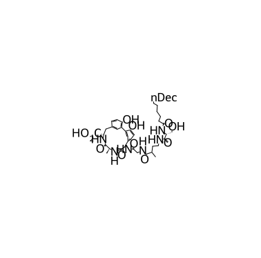 CCCCCCCCCCCCCCCC(=O)N[C@H](CO)C(=O)NCCC(C)C(=O)NCC(=O)N[C@@H]1C(=O)N[C@@H](C)C(=O)N[C@H](C(=O)O)Cc2ccc(O)c(c2)-c2cc1ccc2O